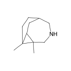 CC12CCC3CNCC1(C)C2C3